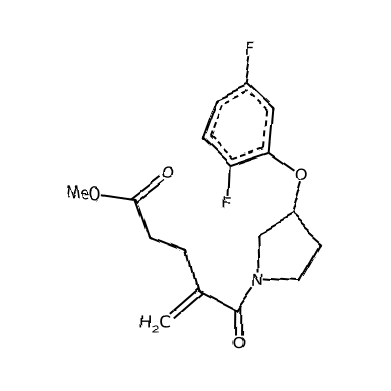 C=C(CCC(=O)OC)C(=O)N1CCC(Oc2cc(F)ccc2F)C1